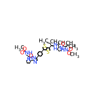 C=C(N/C=C(/c1csc2c(-c3ccc(-c4cnc(C5C=CCN5C(=O)CNC(=O)OC)[nH]4)cc3)csc12)C(C)CC)C1CCCN1C(=O)C(NC(=O)OC)C(C)C